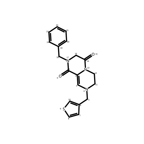 O=C1C2=CN(Cc3ccsc3)CCN2C(=O)CN1Cc1ccccc1